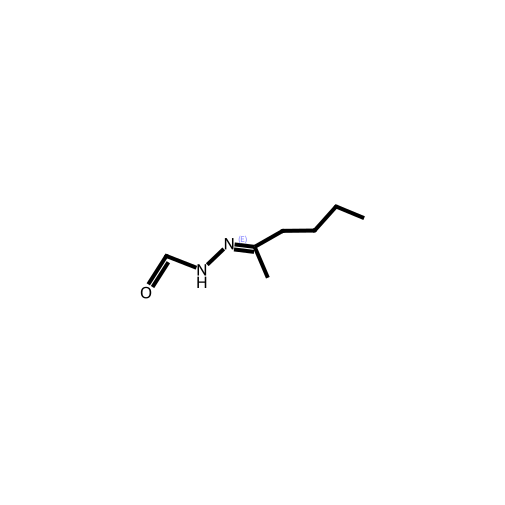 CCCC/C(C)=N/NC=O